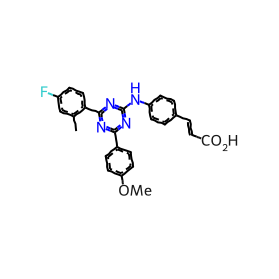 COc1ccc(-c2nc(Nc3ccc(C=CC(=O)O)cc3)nc(-c3ccc(F)cc3C)n2)cc1